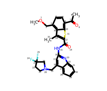 COCc1ccc(C(C)=O)c2sc(C(=O)Nc3cc(CN4CCC(F)(F)C4)c4ccccc4n3)c(C)c12